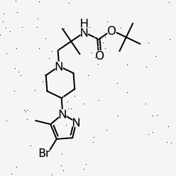 Cc1c(Br)cnn1C1CCN(CC(C)(C)NC(=O)OC(C)(C)C)CC1